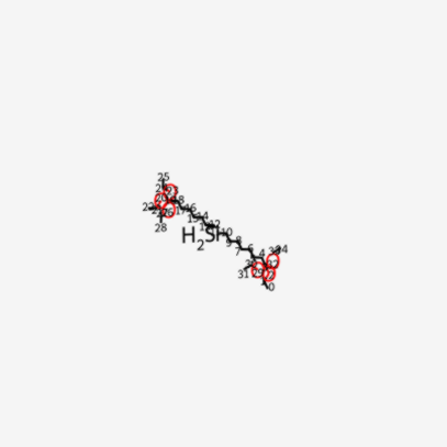 CCOC(CCCCCCC[SiH2]CCCCCCCC(OCC)(OCC)OCC)(OCC)OCC